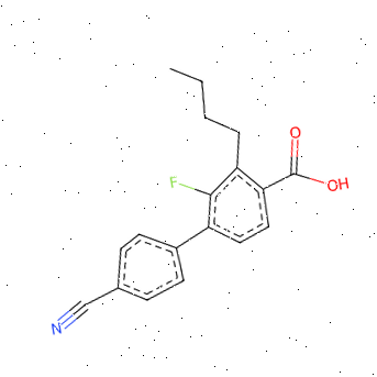 CCCCc1c(C(=O)O)ccc(-c2ccc(C#N)cc2)c1F